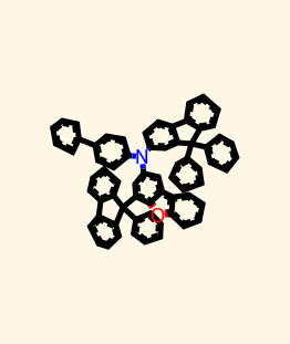 c1ccc(-c2ccc(N(c3ccc4c(c3)C(c3ccccc3)(c3ccccc3)c3ccccc3-4)c3cc(C4(c5ccccc5)c5ccccc5-c5ccccc54)c4oc5ccccc5c4c3)cc2)cc1